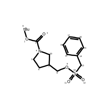 CC(C)(C)OC(=O)N1CCC(COS(=O)(=O)Cc2ccccc2)C1